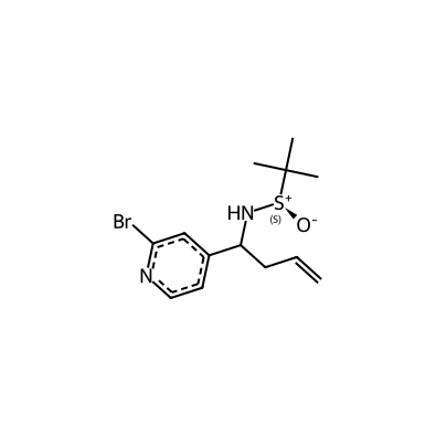 C=CCC(N[S@+]([O-])C(C)(C)C)c1ccnc(Br)c1